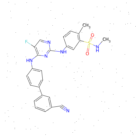 CNS(=O)(=O)c1cc(Nc2ncc(F)c(Nc3ccc(-c4cccc(C#N)c4)cc3)n2)ccc1C